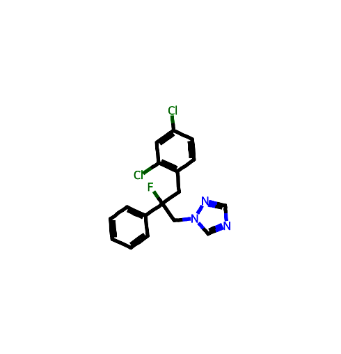 FC(Cc1ccc(Cl)cc1Cl)(Cn1cncn1)c1ccccc1